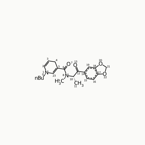 CCCCN1C=CCC(C(=O)N(C)[C@@H](C)C(=O)c2ccc3c(c2)OCO3)=C1